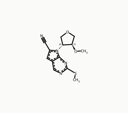 CO[C@@H]1COC[C@H]1n1c(C#N)cc2cnc(SC)nc21